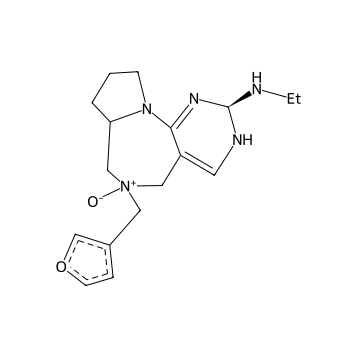 CCN[C@@H]1N=C2C(=CN1)C[N+]([O-])(Cc1ccoc1)CC1CCCN21